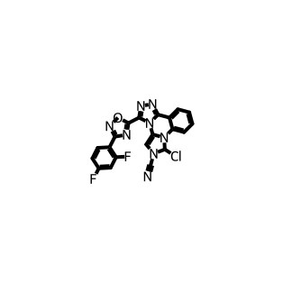 N#CN1C=C2N(c3ccccc3-c3nnc(-c4nc(-c5ccc(F)cc5F)no4)n32)C1Cl